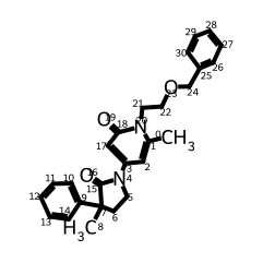 Cc1cc(N2CCC(C)(c3ccccc3)C2=O)cc(=O)n1CCOCc1ccccc1